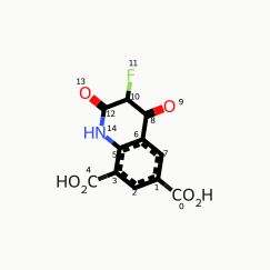 O=C(O)c1cc(C(=O)O)c2c(c1)C(=O)C(F)C(=O)N2